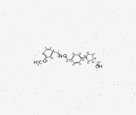 COc1cccc(/C=N/OCc2ccc([C@H]3CC[C@H](CO)C3)cc2)c1